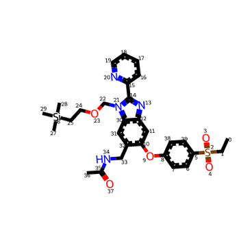 CCS(=O)(=O)c1ccc(Oc2cc3nc(-c4ccccn4)n(COCC[Si](C)(C)C)c3cc2CNC(C)=O)cc1